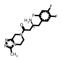 Cc1nnc2n1CCN(C(=O)C[C@@H](N)Cc1cc(F)c(F)cc1F)C2